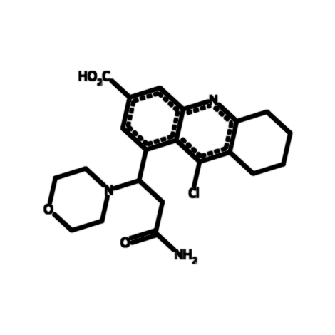 NC(=O)CC(c1cc(C(=O)O)cc2nc3c(c(Cl)c12)CCCC3)N1CCOCC1